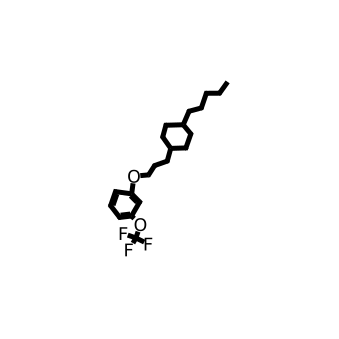 CCCCCC1CCC(CCCOc2cccc(OC(F)(F)F)c2)CC1